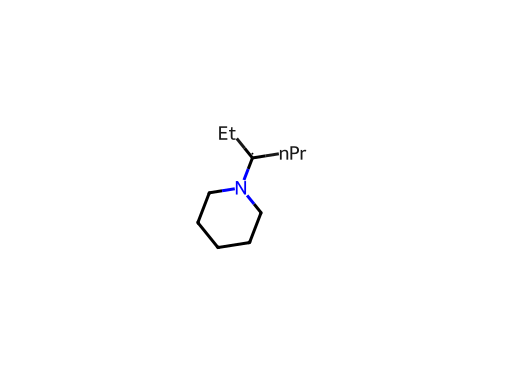 CCC[C](CC)N1CCCCC1